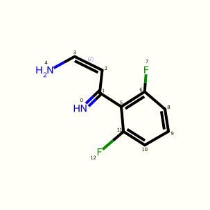 N=C(/C=C\N)c1c(F)cccc1F